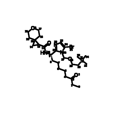 CCC(=O)CCCCC[C@H](NC(=O)C1CC12CCOCC2)c1ncc(Br)n1COCC[Si](C)(C)C